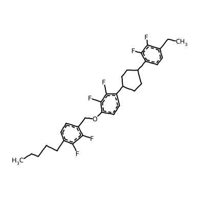 CCCCCc1ccc(COc2ccc(C3CCC(c4ccc(CC)c(F)c4F)CC3)c(F)c2F)c(F)c1F